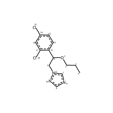 CCCOC(Cn1cncn1)c1ccc(Cl)cc1Cl